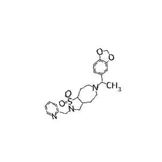 CC(c1ccc2c(c1)OCO2)N1CCC2CN(Cc3ccccn3)S(=O)(=O)C2CC1